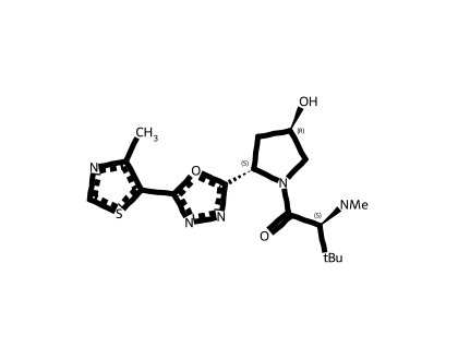 CN[C@H](C(=O)N1C[C@H](O)C[C@H]1c1nnc(-c2scnc2C)o1)C(C)(C)C